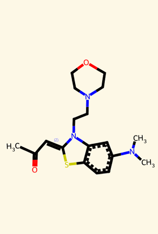 CC(=O)/C=C1\Sc2ccc(N(C)C)cc2N1CCN1CCOCC1